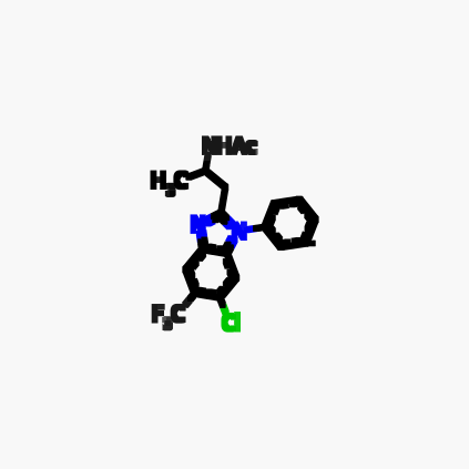 CC(=O)NC(C)Cc1nc2cc(C(F)(F)F)c(Cl)cc2n1-c1c[c]ccc1